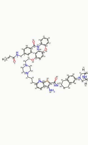 C=CC(=O)NCc1ccc(C(=O)Nc2ccccc2Oc2ccc(OCCN3CCN(CCCc4ccc5c(N)c(C(=O)N[C@H]6CCc7cc(N8C[C@H]9CC[C@@H](C8)N9)ccc7C6)sc5n4)CC3)cc2)cc1